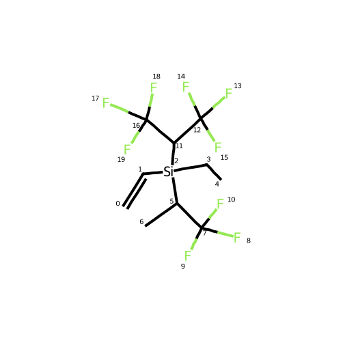 C=C[Si](CC)(C(C)C(F)(F)F)C(C(F)(F)F)C(F)(F)F